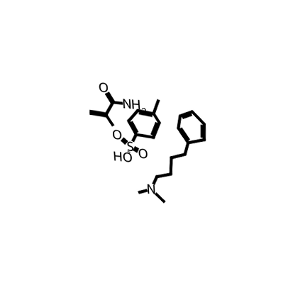 C=C(C)C(N)=O.CN(C)CCCCc1ccccc1.Cc1ccc(S(=O)(=O)O)cc1